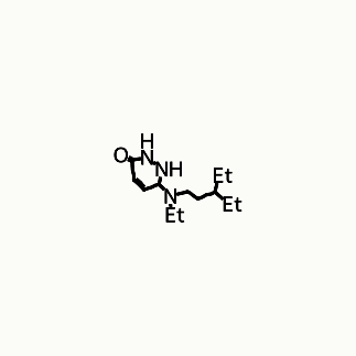 CCC(CC)CCN(CC)C1C=CC(=O)NN1